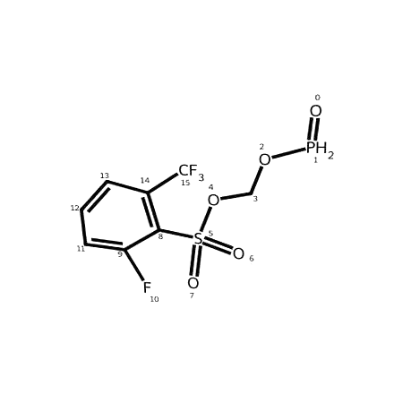 O=[PH2]OCOS(=O)(=O)c1c(F)cccc1C(F)(F)F